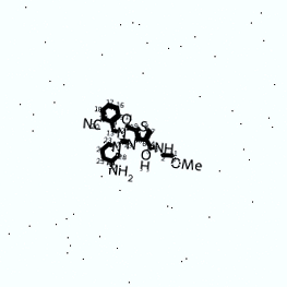 COCCNC(O)c1csc2c(=O)n(Cc3ccccc3C#N)c(N3CCC[C@@H](N)C3)nc12